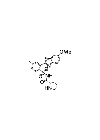 COc1ccc2nc(-c3cc(C)ccc3S(=O)(=O)NC(=O)C3CCCN3)sc2c1